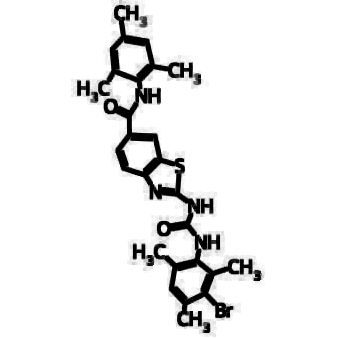 Cc1cc(C)c(NC(=O)c2ccc3nc(NC(=O)Nc4c(C)cc(C)c(Br)c4C)sc3c2)c(C)c1